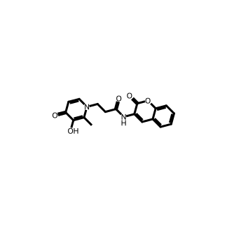 Cc1c(O)c(=O)ccn1CCC(=O)Nc1cc2ccccc2oc1=O